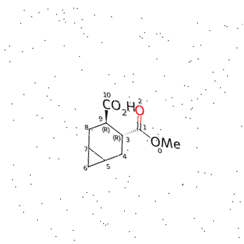 COC(=O)[C@@H]1CC2CC2C[C@H]1C(=O)O